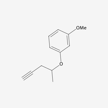 C#CCC(C)Oc1cccc(OC)c1